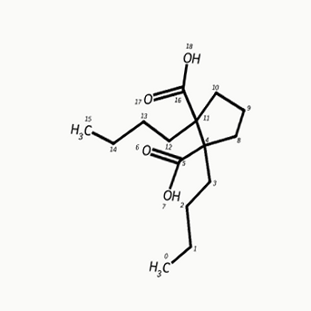 CCCCC1(C(=O)O)CCCC1(CCCC)C(=O)O